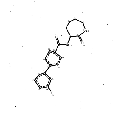 O=C(NC1CCCCNC1=O)c1ccc(-c2cccc(F)c2)nc1